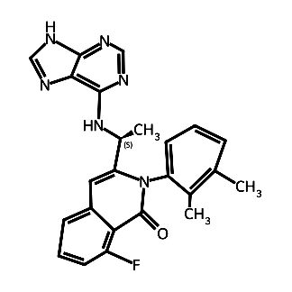 Cc1cccc(-n2c([C@H](C)Nc3ncnc4[nH]cnc34)cc3cccc(F)c3c2=O)c1C